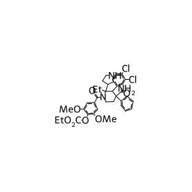 CCOC(=O)Oc1c(OC)cc(C(=O)N2CCC(C(N)=O)(c3ccccc3)C(c3ccc(Cl)c(Cl)c3)C2(CC)C2CCNC2)cc1OC